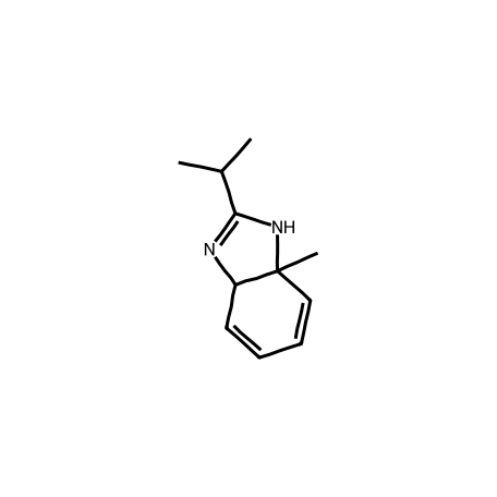 CC(C)C1=NC2C=CC=CC2(C)N1